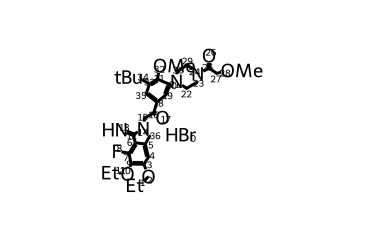 Br.CCOc1cc2c(c(F)c1OCC)C(=N)N(CC(=O)c1cc(N3CCN(C(=O)COC)CC3)c(OC)c(C(C)(C)C)c1)C2